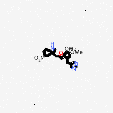 COc1cc(Cc2cncnc2)c2cc(Cc3c[nH]c4ccc([N+](=O)[O-])cc34)oc2c1OC